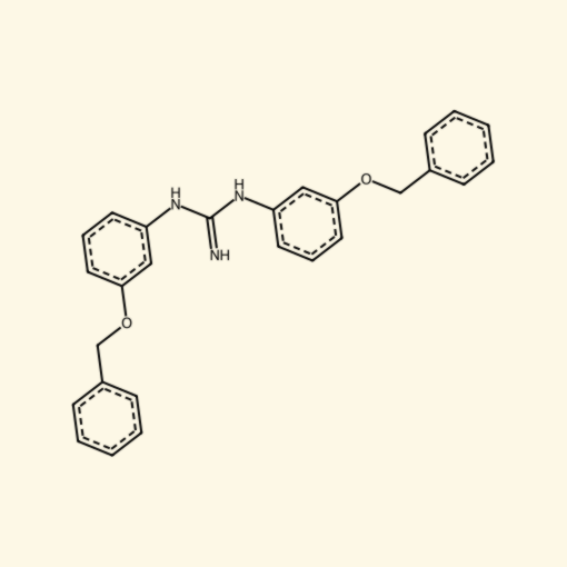 N=C(Nc1cccc(OCc2ccccc2)c1)Nc1cccc(OCc2ccccc2)c1